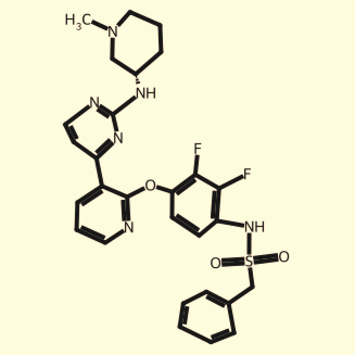 CN1CCC[C@H](Nc2nccc(-c3cccnc3Oc3ccc(NS(=O)(=O)Cc4ccccc4)c(F)c3F)n2)C1